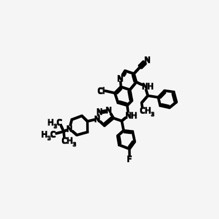 CCC(Nc1c(C#N)cnc2c(Cl)cc(NC(c3ccc(F)cc3)c3cn(C4CCN(C(C)(C)C)CC4)nn3)cc12)c1ccccc1